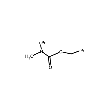 CCCN(C)C(=O)OCC(C)C